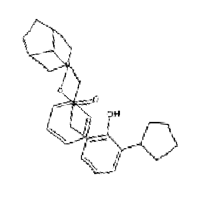 O=C(Cc1cccc(C2CCCC2)c1O)OCC1C2CCC1CN(Cc1ccccc1)C2